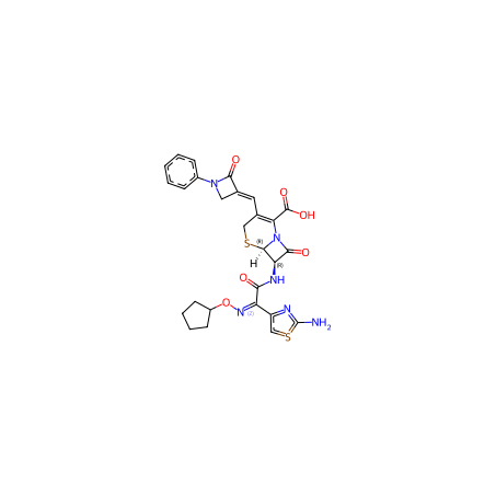 Nc1nc(/C(=N/OC2CCCC2)C(=O)N[C@@H]2C(=O)N3C(C(=O)O)=C(C=C4CN(c5ccccc5)C4=O)CS[C@H]23)cs1